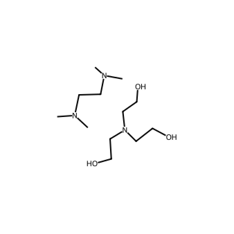 CN(C)CCN(C)C.OCCN(CCO)CCO